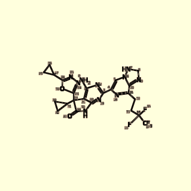 Nc1nc(C2=CN3NCN=C3C(CCC(F)(F)C(F)(F)F)=N2)nc2c1C(c1nnc(C3CC3)o1)(C1CC1)C(=O)N2